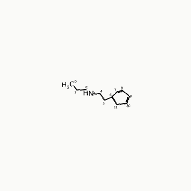 CCCNCCC1C=CC=CC1